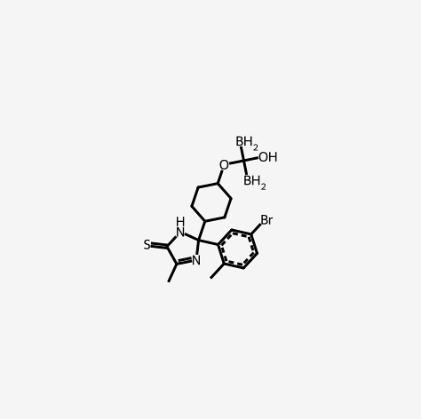 BC(B)(O)OC1CCC(C2(c3cc(Br)ccc3C)N=C(C)C(=S)N2)CC1